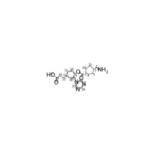 NC[C@H]1CC[C@H](C(=O)Oc2ccc(CCC(=O)O)cc2)CC1.c1ncncn1